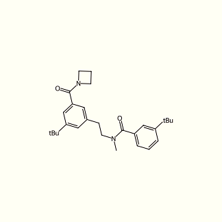 CN(CCc1cc(C(=O)N2CCC2)cc(C(C)(C)C)c1)C(=O)c1cccc(C(C)(C)C)c1